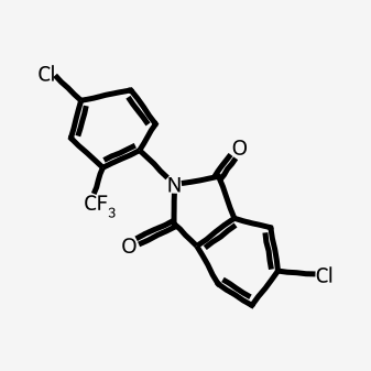 O=C1c2ccc(Cl)cc2C(=O)N1c1ccc(Cl)cc1C(F)(F)F